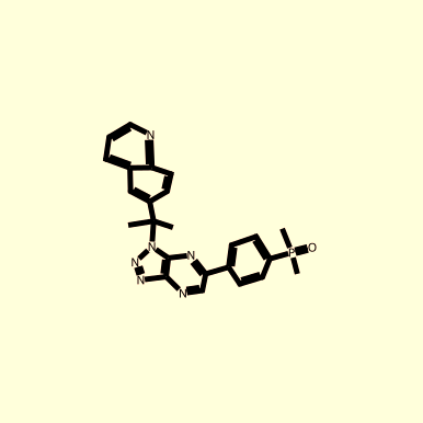 CC(C)(c1ccc2ncccc2c1)n1nnc2ncc(-c3ccc(P(C)(C)=O)cc3)nc21